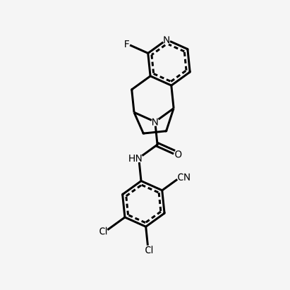 N#Cc1cc(Cl)c(Cl)cc1NC(=O)N1C2CCC1c1ccnc(F)c1C2